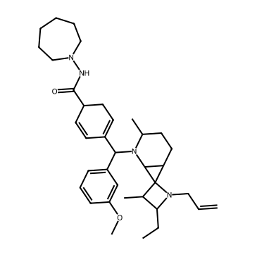 C=CCN1C(CC)C(C)C12C1CCC(C)N(C(C3=CCC(C(=O)NN4CCCCCC4)C=C3)c3cccc(OC)c3)C12